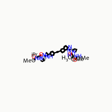 COC(=O)N[C@H](C(=O)N1CCC[C@H]1c1ncc(-c2ccc(C#Cc3ccc4c(ccc5nc([C@@H]6CCCN6C(=O)[C@@H](NC(=O)OC)[C@@H](C)OC)[nH]c54)c3)cc2)[nH]1)C(C)C